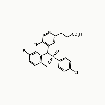 O=C(O)CCc1cc(C(c2cc(F)ccc2F)S(=O)(=O)c2ccc(Cl)cc2)c(Cl)cn1